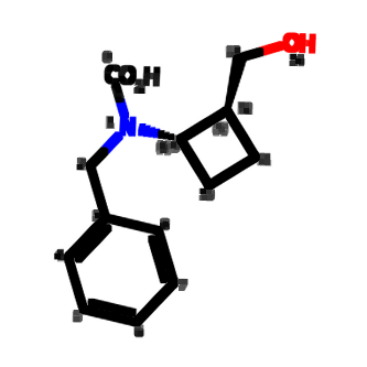 O=C(O)N(Cc1ccccc1)[C@H]1CC[C@@H]1CO